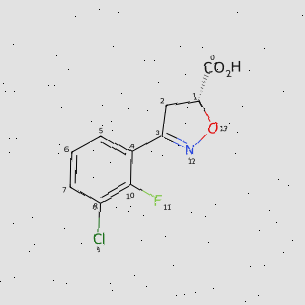 O=C(O)[C@H]1CC(c2cccc(Cl)c2F)=NO1